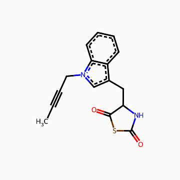 CC#CCn1cc(CC2NC(=O)SC2=O)c2ccccc21